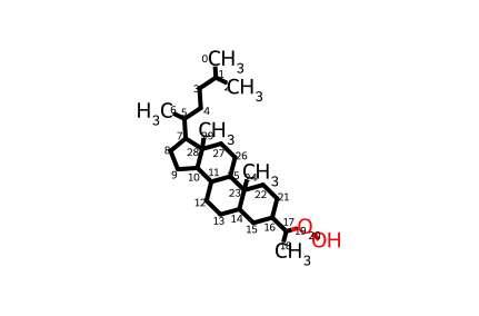 CC(C)CCC(C)C1CCC2C3CCC4CC(C(C)OO)CCC4(C)C3CCC12C